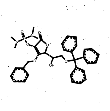 CN(C)P(=O)(OC1=C(OCc2ccccc2)C(C(O)COC(c2ccccc2)(c2ccccc2)c2ccccc2)OC1=O)N(C)C